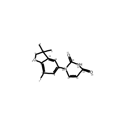 CC1(C)COc2c(I)cc(-n3ccc(=O)[nH]c3=O)cc21